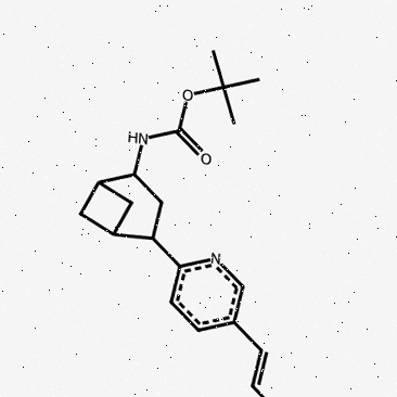 C/C=C/c1ccc(C2CC(NC(=O)OC(C)(C)C)C3CC2C3)nc1